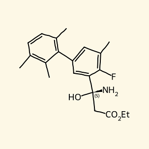 CCOC(=O)C[C@](N)(O)c1cc(-c2c(C)ccc(C)c2C)cc(C)c1F